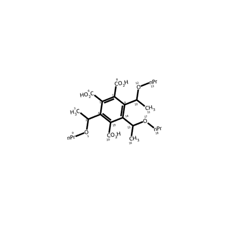 CCCOC(C)c1c(C(=O)O)c(C(=O)O)c(C(C)OCCC)c(C(C)OCCC)c1C(=O)O